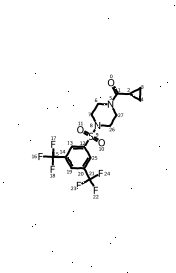 O=C(C1CC1)N1CCN(S(=O)(=O)c2cc(C(F)(F)F)cc(C(F)(F)F)c2)CC1